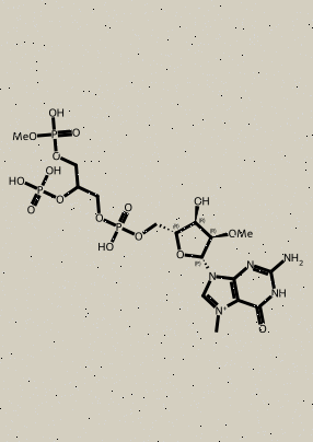 CO[C@@H]1[C@H](O)[C@@H](COP(=O)(O)OCC(COP(=O)(O)OC)OP(=O)(O)O)O[C@H]1n1c[n+](C)c2c(=O)[nH]c(N)nc21